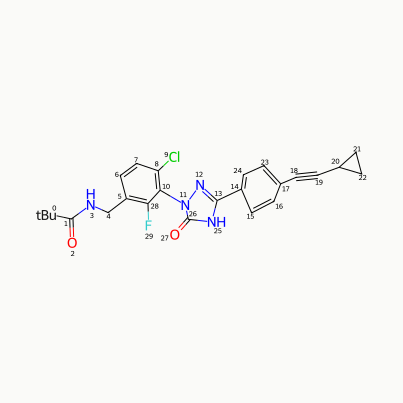 CC(C)(C)C(=O)NCc1ccc(Cl)c(-n2nc(-c3ccc(C#CC4CC4)cc3)[nH]c2=O)c1F